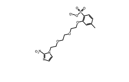 CCOS(=O)(=O)c1ccc(C)cc1OCCOCCOCCn1ccnc1[N+](=O)[O-]